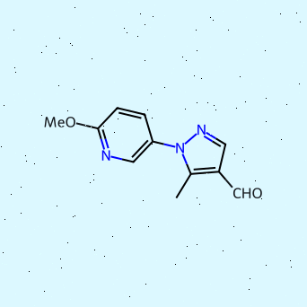 COc1ccc(-n2ncc(C=O)c2C)cn1